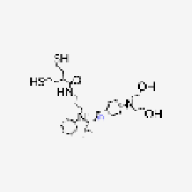 CC1(C)C(/C=C/c2ccc(N(CCO)CCO)cc2)=[N+](CCCNC(=O)C(CCS)CCS)c2ccccc21